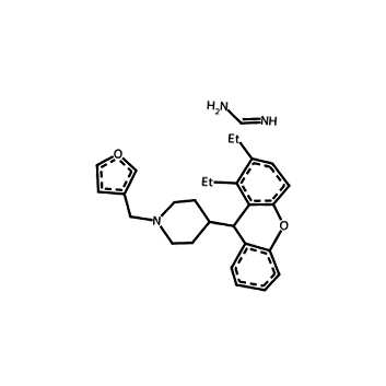 CCc1ccc2c(c1CC)C(C1CCN(Cc3ccoc3)CC1)c1ccccc1O2.N=CN